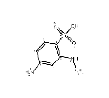 CNc1cc(N)ccc1S(=O)(=O)O